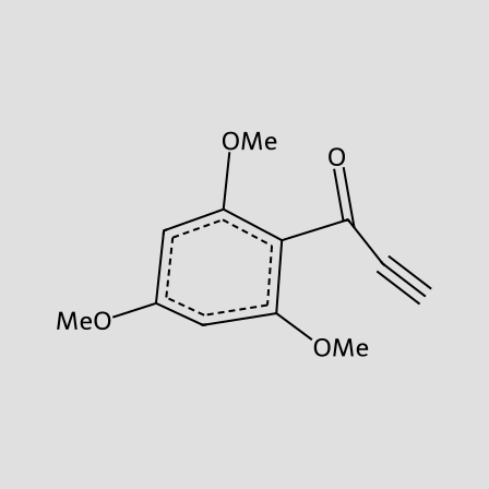 C#CC(=O)c1c(OC)cc(OC)cc1OC